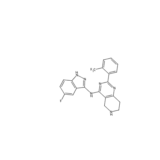 Fc1ccc2[nH]nc(Nc3nc(-c4ccccc4C(F)(F)F)nc4c3CNCC4)c2c1